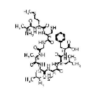 CSCC[C@H](NC(=O)[C@H](C)N)C(=O)N[C@@H](CS)C(=O)NCC(=O)N[C@@H](C)C(=O)N[C@@H](CC(C)C)C(=O)N[C@@H](CS)C(=O)N[C@@H](CC(C)C)C(=O)N[C@@H](Cc1ccccc1)C(=O)O